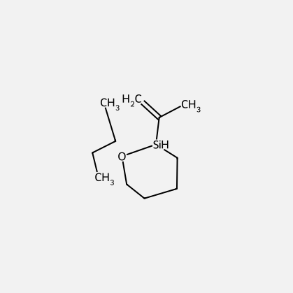 C=C(C)[SiH]1CCCCO1.CCCC